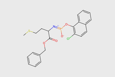 CSCCC(/N=[P+](\[O-])Oc1c(Cl)ccc2ccccc12)C(=O)OCc1ccccc1